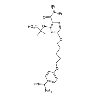 CC(C)N(C(=O)c1ccc(OCCCCCOc2ccc(C(=N)N)cc2)cc1OC(C)(C)C(=O)O)C(C)C